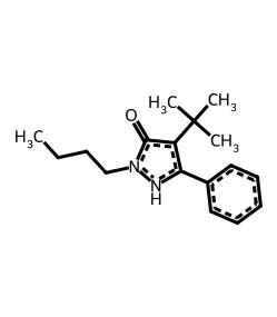 CCCCn1[nH]c(-c2ccccc2)c(C(C)(C)C)c1=O